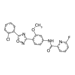 COc1cc(NC(=O)c2cccc(F)n2)ccc1-c1noc(-c2ccccc2Cl)n1